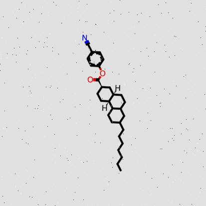 CCCCCCCC1CCC2C(CC[C@@H]3C[C@H](C(=O)Oc4ccc(C#N)cc4)CC[C@H]23)C1